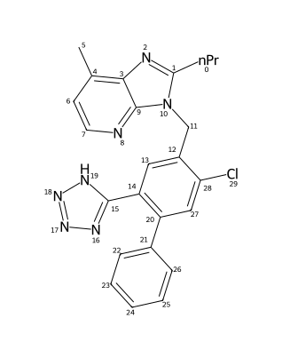 CCCc1nc2c(C)ccnc2n1Cc1cc(-c2nnn[nH]2)c(-c2ccccc2)cc1Cl